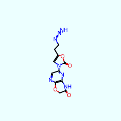 N=[N+]=NCCc1cn(-c2cnc3c(n2)NC(=O)CO3)c(=O)o1